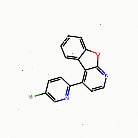 Brc1ccc(-c2ccnc3oc4ccccc4c23)nc1